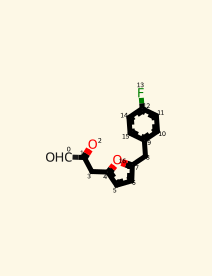 O=CC(=O)Cc1ccc(Cc2ccc(F)cc2)o1